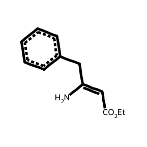 CCOC(=O)C=C(N)Cc1ccccc1